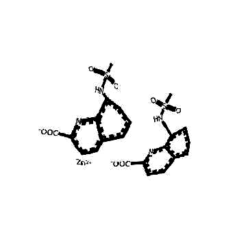 CS(=O)(=O)Nc1cccc2ccc(C(=O)[O-])nc12.CS(=O)(=O)Nc1cccc2ccc(C(=O)[O-])nc12.[Zn+2]